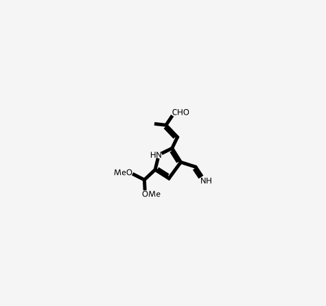 COC(OC)c1cc(C=N)c(/C=C(\C)C=O)[nH]1